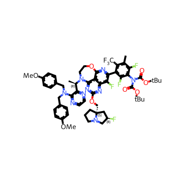 COc1ccc(CN(Cc2ccc(OC)cc2)c2nccnc2[C@@H](C)N2CCOc3nc(-c4c(F)c(N(C(=O)OC(C)(C)C)C(=O)OC(C)(C)C)c(F)c(C)c4C(F)(F)F)c(F)c4nc(OC[C@@]56CCCN5C[C@H](F)C6)nc2c34)cc1